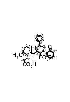 CCOC(=O)C1=C(CN2CCO[C@H](C)[C@H]2CCC(=O)O)NC(c2nccs2)=N[C@H]1c1ccccc1Cl